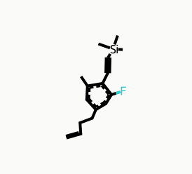 C=CCCc1cc(C)c(C#C[Si](C)(C)C)c(F)c1